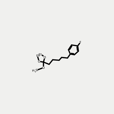 CCOC(CCCCCc1ccc(F)cc1)(O[SiH3])OCC